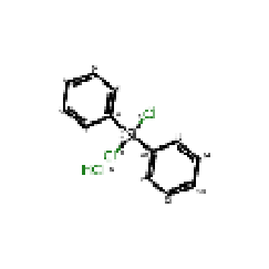 Cl.Cl[Si](Cl)(c1ccccc1)c1ccccc1